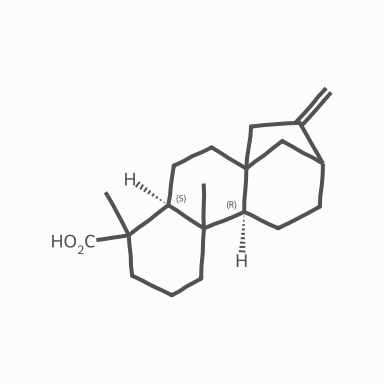 C=C1CC23CC[C@@H]4C(C)(C(=O)O)CCCC4(C)[C@@H]2CCC1C3